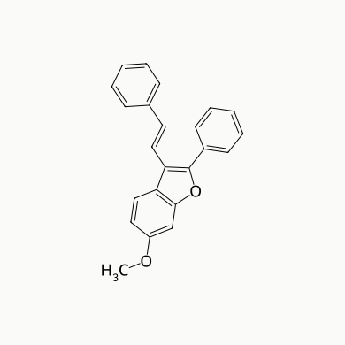 COc1ccc2c(C=Cc3ccccc3)c(-c3ccccc3)oc2c1